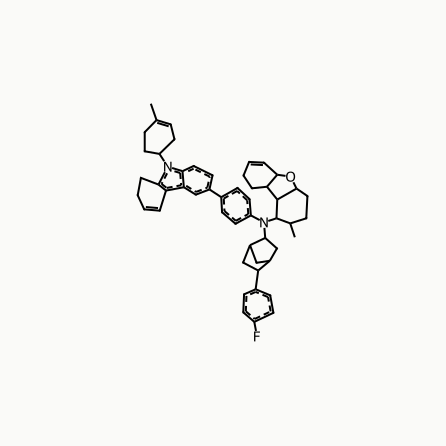 CC1=CCC(n2c3c(c4cc(-c5ccc(N(C6CC7CC6CC7c6ccc(F)cc6)C6C(C)CCC7OC8C=CCCC8C76)cc5)ccc42)C=CCC3)CC1